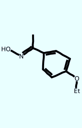 CCOc1ccc(C(C)=NO)cc1